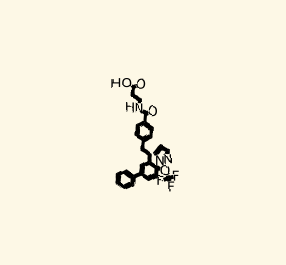 O=C(O)CCNC(=O)c1ccc(CCC2C=C(c3ccccc3)C=CC2(OC(F)(F)F)n2cccn2)cc1